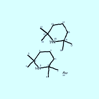 CC1(C)CCCC(C)(C)N1.CC1(C)CCCC(C)(C)N1.[Au]